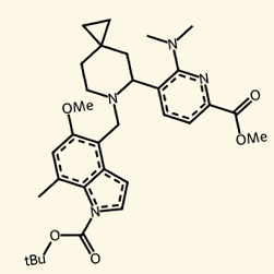 COC(=O)c1ccc(C2CC3(CCN2Cc2c(OC)cc(C)c4c2ccn4C(=O)OC(C)(C)C)CC3)c(N(C)C)n1